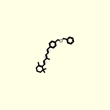 CC1=C(/C=C/C(C)=C/C=C/c2ccc(COCc3ccccc3)cc2)C(C)(C)CCC1